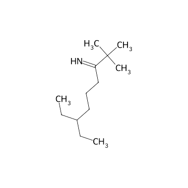 CCC(CC)CCCC(=N)C(C)(C)C